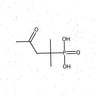 CC(=O)CC(C)(C)P(=O)(O)O